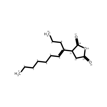 CCCCCCC=C(CCC)C1CC(=O)OC1=O